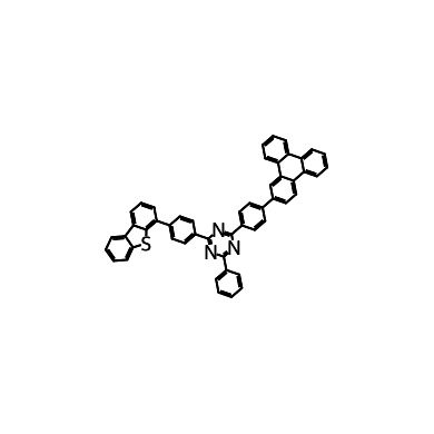 c1ccc(-c2nc(-c3ccc(-c4ccc5c6ccccc6c6ccccc6c5c4)cc3)nc(-c3ccc(-c4cccc5c4sc4ccccc45)cc3)n2)cc1